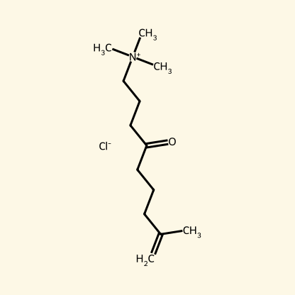 C=C(C)CCCC(=O)CCC[N+](C)(C)C.[Cl-]